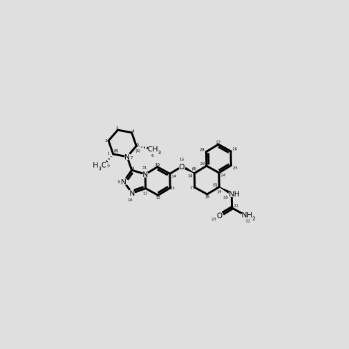 C[C@@H]1CCC[C@H](C)N1c1nnc2ccc(O[C@@H]3CC[C@H](NC(N)=O)c4ccccc43)cn12